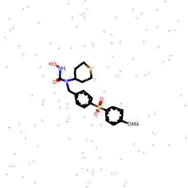 COc1ccc(S(=O)(=O)c2ccc(CN(C(=O)NO)C3CCSCC3)cc2)cc1